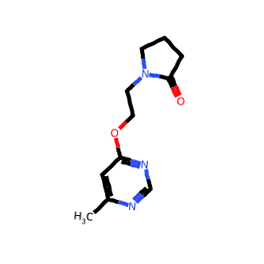 Cc1cc(OCCN2CCCC2=O)ncn1